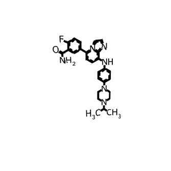 CC(C)N1CCN(c2ccc(Nc3ccc(-c4ccc(F)c(C(N)=O)c4)n4ccnc34)cc2)CC1